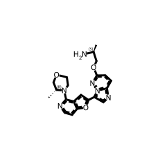 C[C@H](N)COc1ccc2ncc(-c3cc4c(N5CCOC[C@H]5C)nccc4o3)n2n1